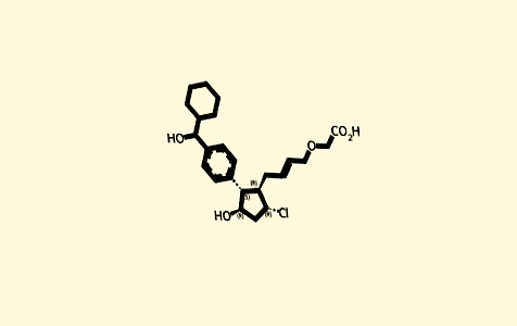 O=C(O)COCC=CC[C@@H]1[C@@H](c2ccc(C(O)C3CCCCC3)cc2)[C@H](O)C[C@H]1Cl